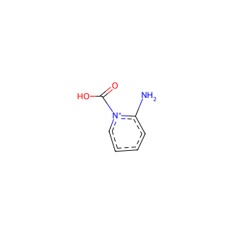 Nc1cccc[n+]1C(=O)O